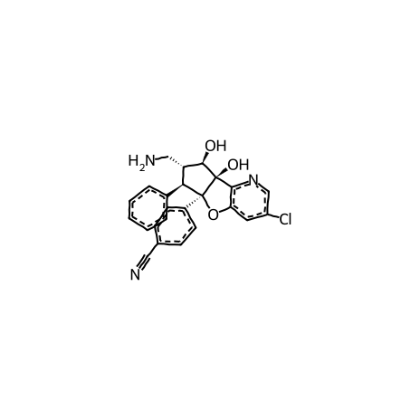 N#Cc1ccc([C@@]23Oc4cc(Cl)cnc4[C@@]2(O)[C@H](O)[C@@H](CN)[C@@H]3c2ccccc2)cc1